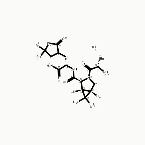 Cl.[2H]C1([2H])CC(C[C@H](NC(=O)[C@@H]2[C@@H]3[C@H](CN2C(=O)[C@@H](N)C(C)(C)C)C3(C)C)C(N)=O)C(=O)N1